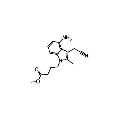 COC(=O)CCCn1c(C)c(CC#N)c2c(N)cccc21